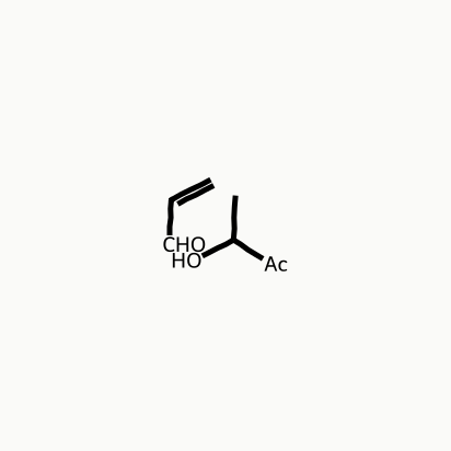 C=CC=O.CC(=O)C(C)O